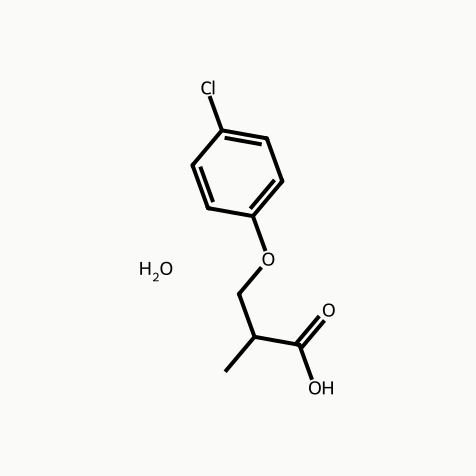 CC(COc1ccc(Cl)cc1)C(=O)O.O